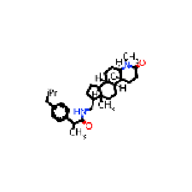 CC(C)Cc1ccc(C(C)C(=O)NC[C@H]2CC[C@H]3[C@@H]4CC[C@H]5N(C)C(=O)CC[C@]5(C)[C@H]4CC[C@]23C)cc1